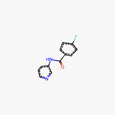 O=C(Nc1cc[c]nc1)c1ccc(F)cc1